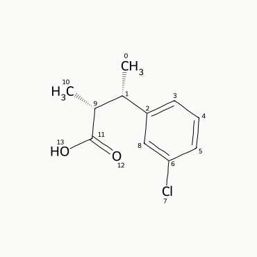 C[C@H](c1cccc(Cl)c1)[C@@H](C)C(=O)O